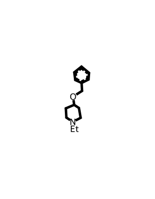 CCN1CCC(OCc2ccccc2)CC1